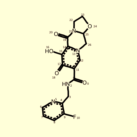 O=C(NCc1ncccc1F)c1cn2c(c(O)c1=O)C(=O)N1CCOC1C2